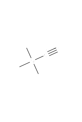 C[Si](C)(C)[13C]#[13CH]